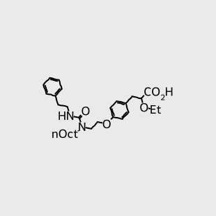 CCCCCCCCN(CCOc1ccc(CC(OCC)C(=O)O)cc1)C(=O)NCCc1ccccc1